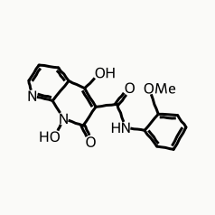 COc1ccccc1NC(=O)c1c(O)c2cccnc2n(O)c1=O